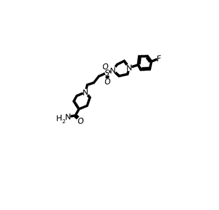 NC(=O)C1CCN(CCCS(=O)(=O)N2CCN(c3ccc(F)cc3)CC2)CC1